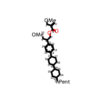 C=C(COC)C(=O)OCC(COC)c1ccc(C2CCC(C3CCC(CCCCC)CC3)CC2)cc1